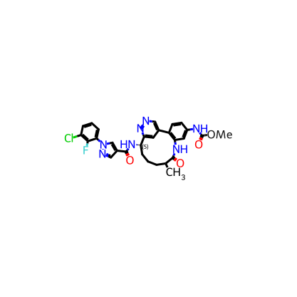 COC(=O)Nc1ccc2c(c1)NC(=O)C(C)CCC[C@H](NC(=O)c1cnn(-c3cccc(Cl)c3F)c1)c1cc-2cnn1